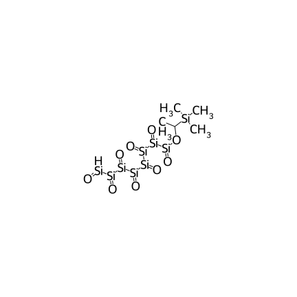 CC(O[Si](=O)[Si](=O)[Si](=O)[Si](=O)[Si](=O)[Si](=O)[Si](=O)[SiH]=O)[Si](C)(C)C